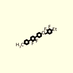 CCc1ccc(COc2ccc(-c3ccc(-c4ccc(C)cc4)c(F)c3F)cc2)c(F)c1F